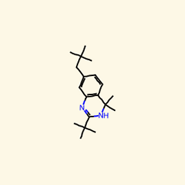 CC(C)(C)Cc1ccc2c(c1)N=C(C(C)(C)C)NC2(C)C